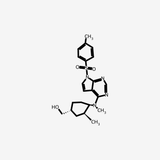 Cc1ccc(S(=O)(=O)n2ccc3c(N(C)[C@@H]4CC[C@@H](CO)C[C@@H]4C)ncnc32)cc1